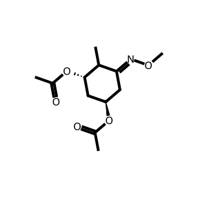 CO/N=C1\C[C@@H](OC(C)=O)C[C@H](OC(C)=O)C1C